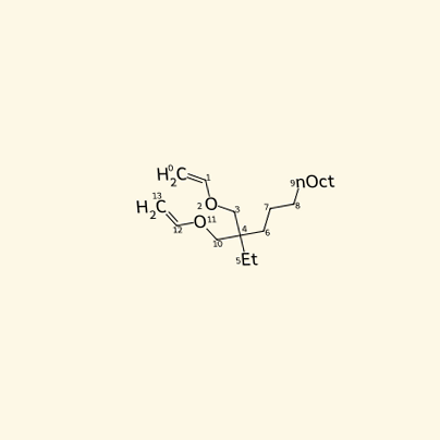 C=COCC(CC)(CCCCCCCCCCC)COC=C